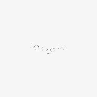 O=C(Nc1ccc2sc(N3CCC4(COC4)C3)nc2c1)c1ccc2c(c1)CCO2